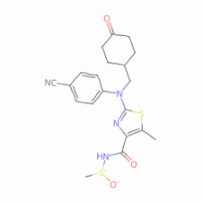 Cc1sc(N(CC2CCC(=O)CC2)c2ccc(C#N)cc2)nc1C(=O)N[S+](C)[O-]